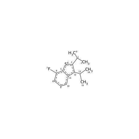 CC(C)c1sc2c(F)cccc2c1C(C)C